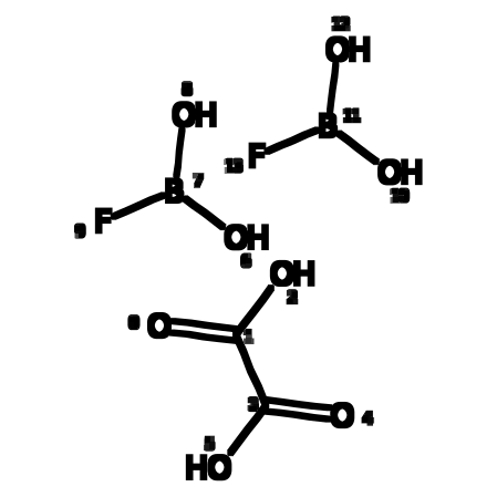 O=C(O)C(=O)O.OB(O)F.OB(O)F